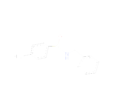 Cc1ccc([S+]([O-])NCc2ccccc2)cc1